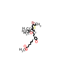 COC(=O)CCCC=CC[C@H]1C(=O)CC[C@@H]1C=C[C@H](CCc1cc(Br)c(C)s1)O[Si](C)(C)C(C)(C)C